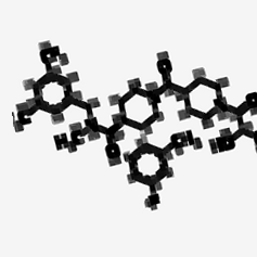 Cc1cc(F)ccc1[C@H]1CN(C(=O)C2CCN(C(=O)C(C)O)CC2)CC[C@@H]1C(=O)N(C)Cc1cc(C(F)(F)F)cc(C(F)(F)F)c1